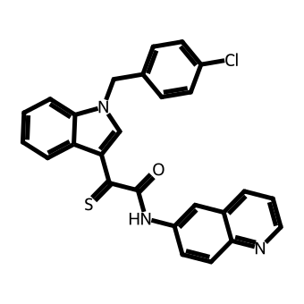 O=C(Nc1ccc2ncccc2c1)C(=S)c1cn(Cc2ccc(Cl)cc2)c2ccccc12